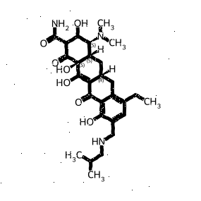 CCc1cc(CNCC(C)C)c(O)c2c1C[C@H]1C[C@H]3[C@H](N(C)C)C(O)C(C(N)=O)C(=O)[C@@]3(O)C(O)=C1C2=O